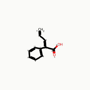 C=C/C=C(/C(=O)O)c1ccccc1